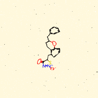 O=C1N=[N+]([O-])SC1Cc1cccc2c1CCC(Cc1ccccc1)O2